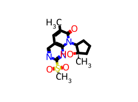 Cc1cc2cnc(S(C)(=O)=O)nc2n(C2CCC[C@@]2(C)O)c1=O